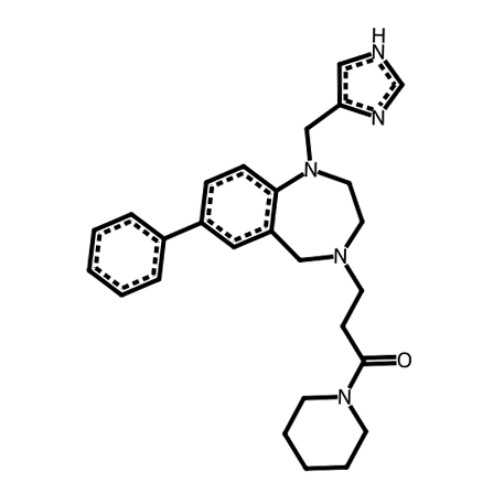 O=C(CCN1CCN(Cc2c[nH]cn2)c2ccc(-c3ccccc3)cc2C1)N1CCCCC1